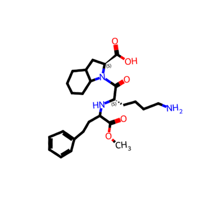 COC(=O)C(CCc1ccccc1)N[C@@H](CCCCN)C(=O)N1C2CCCCC2C[C@H]1C(=O)O